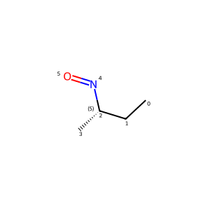 CC[C@H](C)N=O